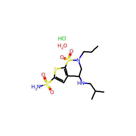 CCCN1CC(NCC(C)C)c2cc(S(N)(=O)=O)sc2S1(=O)=O.Cl.O